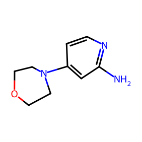 Nc1cc(N2CCOCC2)ccn1